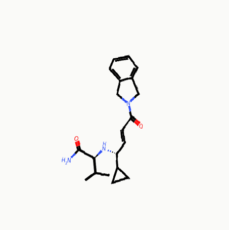 CC(C)[C@H](N[C@H](/C=C/C(=O)N1Cc2ccccc2C1)C1CC1)C(N)=O